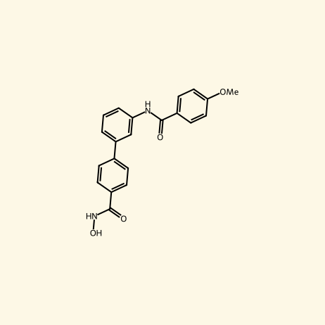 COc1ccc(C(=O)Nc2cccc(-c3ccc(C(=O)NO)cc3)c2)cc1